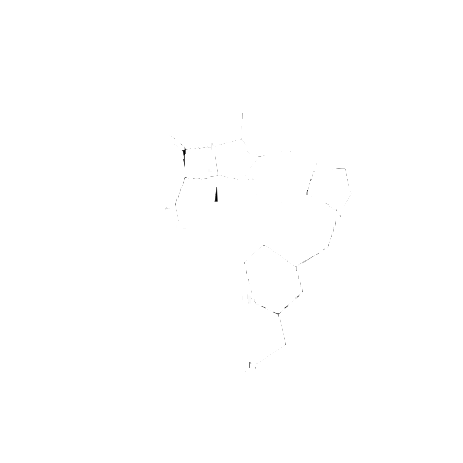 C[C@@H](O)[C@H]1C(=O)N2C(C(=O)O)=C(S[C@@H]3CCN(CC4CCNC(CN)C4)C3)[C@H](C)[C@H]12